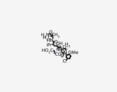 COc1ccc(Cl)cc1N1CC(C)(C)N(C[C@H](N)[C@@H](O)C[C@H](C(=O)NCC(C)(C)C(N)=O)C(C)C)CC1=O.O=C(O)/C=C/C(=O)O